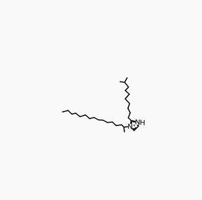 CCCCCCCCCCCCCCC(C)[n+]1cc[nH]c1CCCCCCCCC(C)C